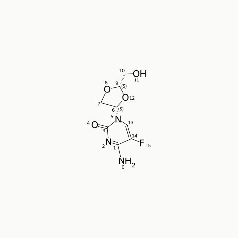 Nc1nc(=O)n([C@@H]2CO[C@H](CO)O2)cc1F